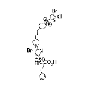 O=C(O)C(CCc1ccccc1)NS(=O)(=O)c1cnc(N2CCC(CCCC3CCN(S(=O)(=O)c4cc(Br)c(Cl)s4)CC3)CC2)c(Br)c1